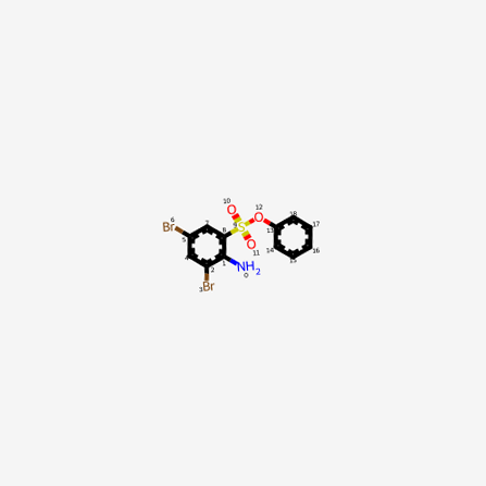 Nc1c(Br)cc(Br)cc1S(=O)(=O)Oc1ccccc1